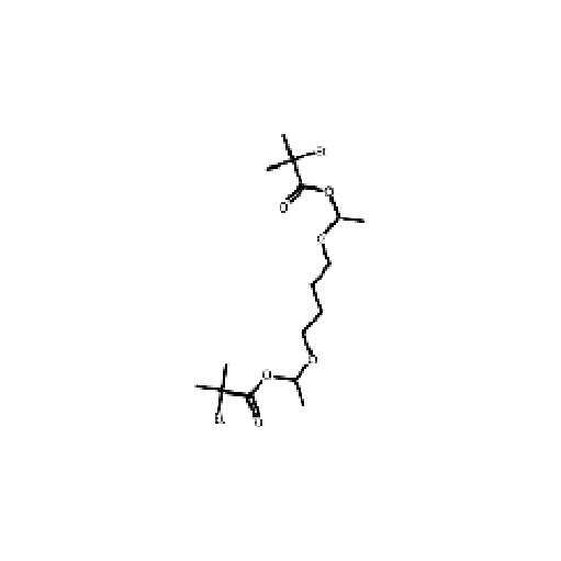 CCC(C)(C)C(=O)OC(C)OCCCCOC(C)OC(=O)C(C)(C)CC